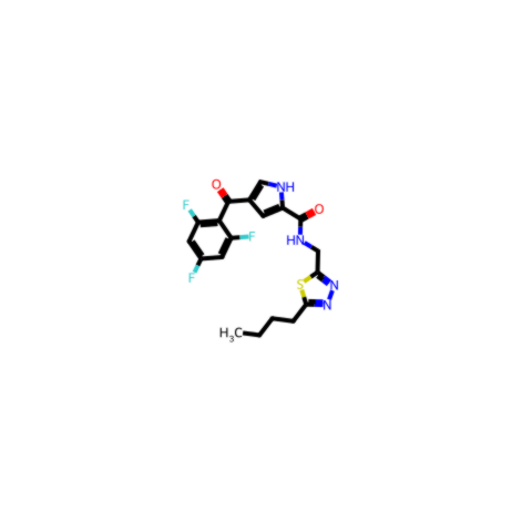 CCCCc1nnc(CNC(=O)c2cc(C(=O)c3c(F)cc(F)cc3F)c[nH]2)s1